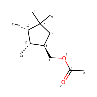 CC(=O)OC[C@@H]1CC(C)(C)[C@@H](C)[C@H]1C